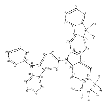 CC1(C)c2ccccc2-c2cc3c(cc21)c1cc2c(cc1n3-c1ccc3c(c1)c1ccccc1n3-c1ccccc1)C(C)(C)C(C)(C)C2(C)C